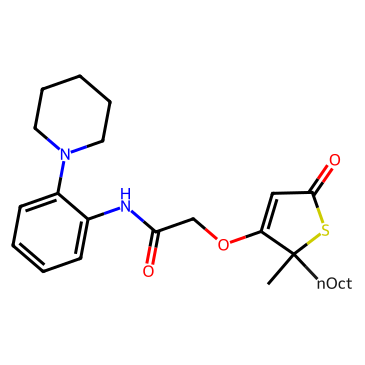 CCCCCCCCC1(C)SC(=O)C=C1OCC(=O)Nc1ccccc1N1CCCCC1